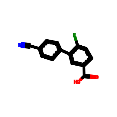 N#Cc1ccc(-c2cc(C(=O)O)ccc2F)cc1